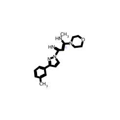 CN/C(=C\C(=N)n1ccc(-c2cccc(C)c2)n1)N1CCOCC1